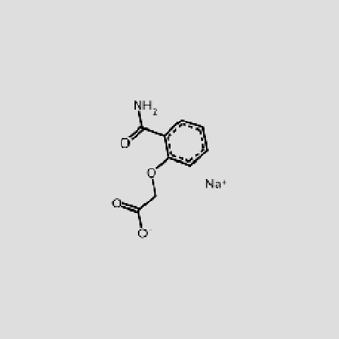 NC(=O)c1ccccc1OCC(=O)[O-].[Na+]